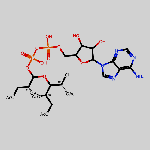 CC(=O)OC[C@@H](OC(C)=O)C(OC([C@H](C)OC(C)=O)[C@@H](COC(C)=O)OC(C)=O)OP(=O)(O)OP(=O)(O)OCC1OC(n2cnc3c(N)ncnc32)C(O)C1O